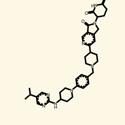 CC(C)c1cnc(NC2CCN(c3ccc(CN4CCC(c5cc6c(cn5)C(=O)N(C5CCC(=O)NC5=O)C6)CC4)cc3)CC2)nc1